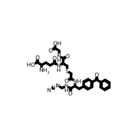 [N-]=[N+]=NCNC(=O)C(Cc1ccc(C(=O)c2ccccc2)cc1)NC(=O)CSCC(NC(=O)CCC(N)C(=O)O)C(=O)NCC(=O)O